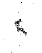 CCOC(=O)C1(C(=O)N[C@@H](CCCNC(N)=O)C(=O)Nc2ccc(COc3ccccc3-c3cc4c(nn3)N[C@@H](C)[C@@H]3CN(C5CCN(C(=O)OC(C)(C)C)CC5)CCN43)cc2)CCC1